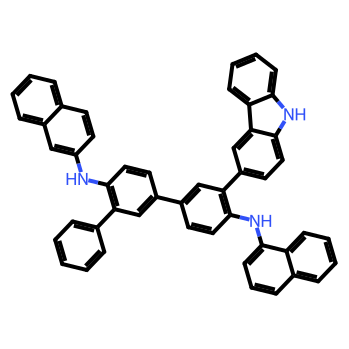 c1ccc(-c2cc(-c3ccc(Nc4cccc5ccccc45)c(-c4ccc5[nH]c6ccccc6c5c4)c3)ccc2Nc2ccc3ccccc3c2)cc1